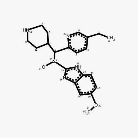 CCc1ccc(C(C2CCNCC2)[S+]([O-])c2nc3cc(OC)ccc3[nH]2)nc1